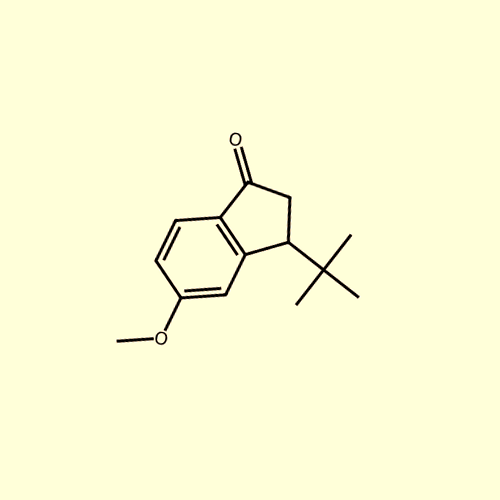 COc1ccc2c(c1)C(C(C)(C)C)CC2=O